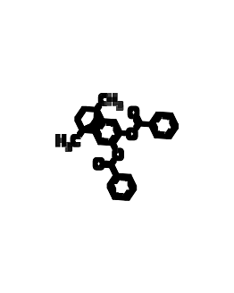 CC12CCC(C)(CC1)c1cc(OC(=O)c3ccccc3)c(OC(=O)c3ccccc3)cc12